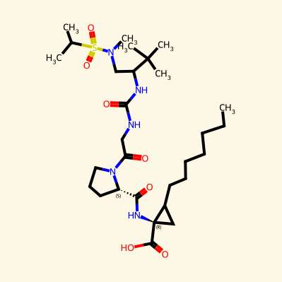 CCCCCCCC1C[C@]1(NC(=O)[C@@H]1CCCN1C(=O)CNC(=O)NC(CN(C)S(=O)(=O)C(C)C)C(C)(C)C)C(=O)O